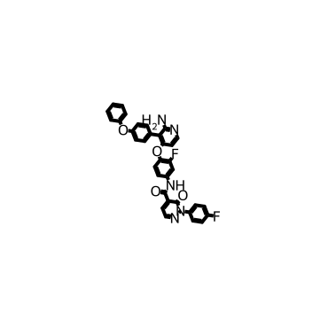 Nc1nccc(Oc2ccc(NC(=O)c3ccnn(-c4ccc(F)cc4)c3=O)cc2F)c1-c1ccc(Oc2ccccc2)cc1